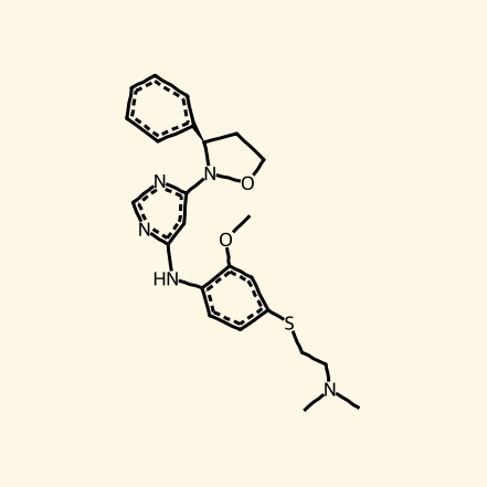 COc1cc(SCCN(C)C)ccc1Nc1cc(N2OCC[C@@H]2c2ccccc2)ncn1